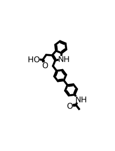 CC(=O)Nc1ccc(-c2ccc(Cc3[nH]c4ccccc4c3CC(=O)O)cc2)cc1